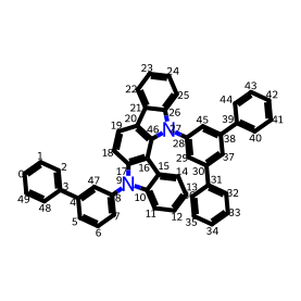 c1ccc(-c2cccc(-n3c4ccccc4c4c3ccc3c5ccccc5n(-c5cc(-c6ccccc6)cc(-c6ccccc6)c5)c34)c2)cc1